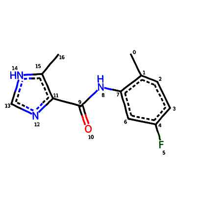 Cc1ccc(F)cc1NC(=O)c1nc[nH]c1C